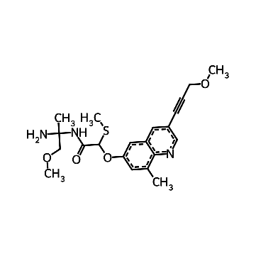 COCC#Cc1cnc2c(C)cc(OC(SC)C(=O)NC(C)(N)COC)cc2c1